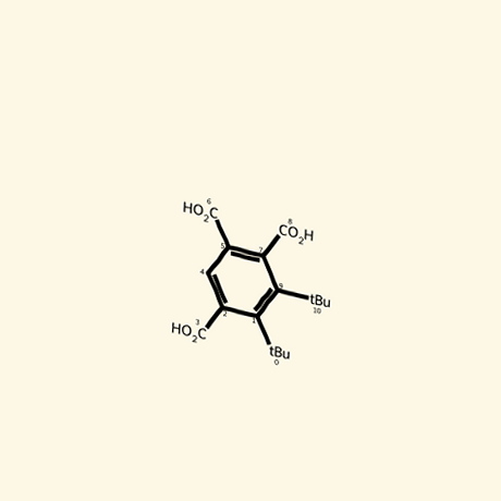 CC(C)(C)c1c(C(=O)O)cc(C(=O)O)c(C(=O)O)c1C(C)(C)C